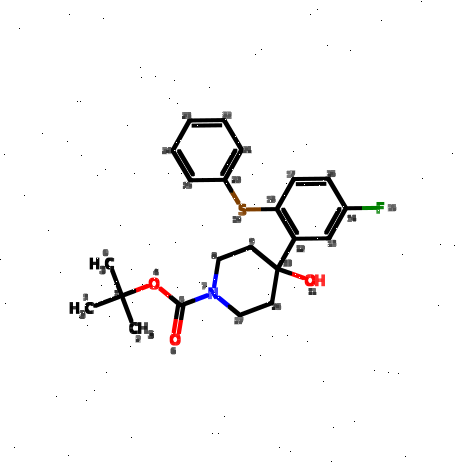 CC(C)(C)OC(=O)N1CCC(O)(c2cc(F)ccc2Sc2ccccc2)CC1